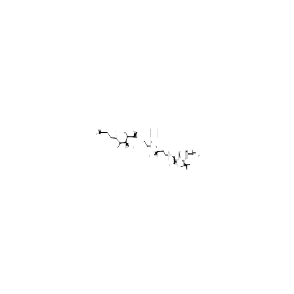 COC(=O)CCC(=O)C(C)C(=O)C(C)C(=O)SCCNC(=O)CCNC(=O)[C@@H]1OP(=O)(O)OCC1(C)C